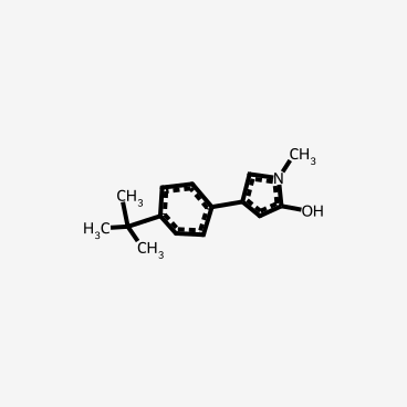 Cn1cc(-c2ccc(C(C)(C)C)cc2)cc1O